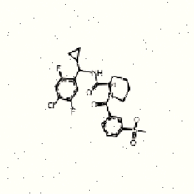 CS(=O)(=O)c1cccc(C(=O)N2CCCC[C@@H]2C(=O)NC(c2cc(F)c(Cl)cc2F)C2CC2)c1